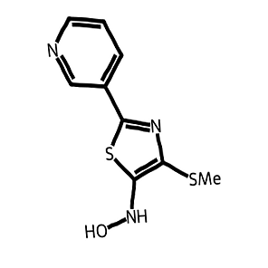 CSc1nc(-c2cccnc2)sc1NO